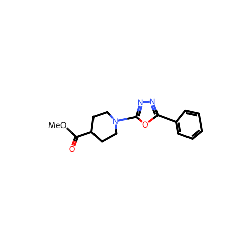 COC(=O)C1CCN(c2nnc(-c3ccccc3)o2)CC1